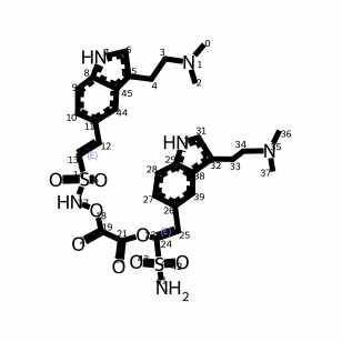 CN(C)CCc1c[nH]c2ccc(/C=C/S(=O)(=O)NOC(=O)C(=O)O/C(=C\c3ccc4[nH]cc(CCN(C)C)c4c3)S(N)(=O)=O)cc12